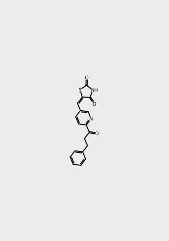 O=C1NC(=O)/C(=C\c2ccc(C(=O)CCc3ccccc3)nc2)S1